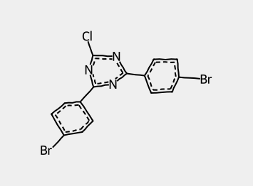 Clc1nc(-c2ccc(Br)cc2)nc(-c2ccc(Br)cc2)n1